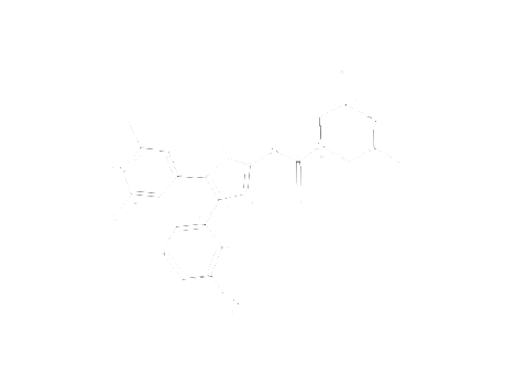 Cc1cc(-c2sc(NC(=O)N3CC(C)N[C@@H](C)C3)nc2-c2cccc(C#N)c2)cc(C)n1